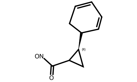 O=NC(=O)C1C[C@@H]1C1C=CC=CC1